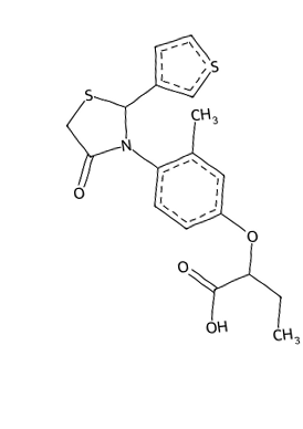 CCC(Oc1ccc(N2C(=O)CSC2c2ccsc2)c(C)c1)C(=O)O